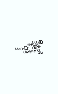 COc1ccc(CN[C@@H](C(=O)O)[C@H](O)[C@H](Cc2ccccc2)NC(=O)OC(C)(C)C)c(OC)c1OC